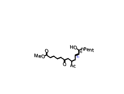 CCCCC[C@H](O)/C=C/CC(CC(=O)CCCCC(=O)OC)C(C)=O